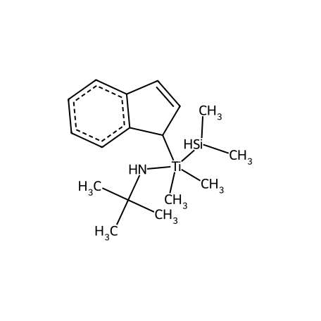 C[SiH](C)[Ti]([CH3])([CH3])([NH]C(C)(C)C)[CH]1C=Cc2ccccc21